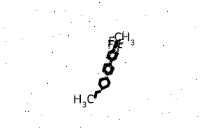 CCCC[C@H]1CC[C@H](c2ccc(-c3ccc(C(F)(F)C(C)(F)F)cc3)cc2)CC1